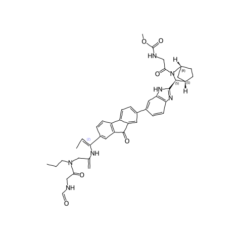 C=C(CN(CCC)C(=O)CNC=O)N/C(=C\C)c1ccc2c(c1)C(=O)c1cc(-c3ccc4nc([C@@H]5[C@H]6CC[C@H](C6)N5C(=O)CNC(=O)OC)[nH]c4c3)ccc1-2